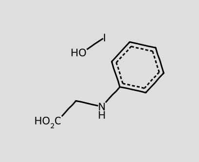 O=C(O)CNc1ccccc1.OI